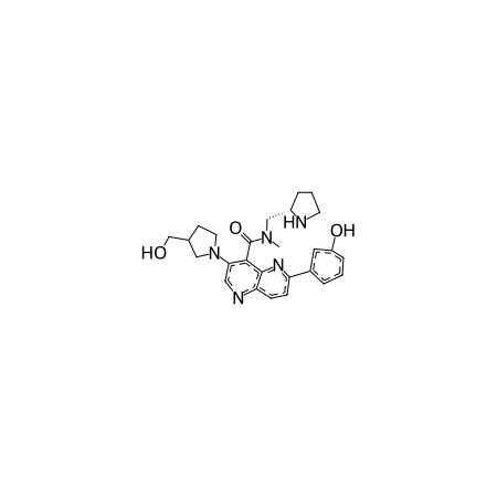 CN(C[C@@H]1CCCN1)C(=O)c1c(N2CCC(CO)C2)cnc2ccc(-c3cccc(O)c3)nc12